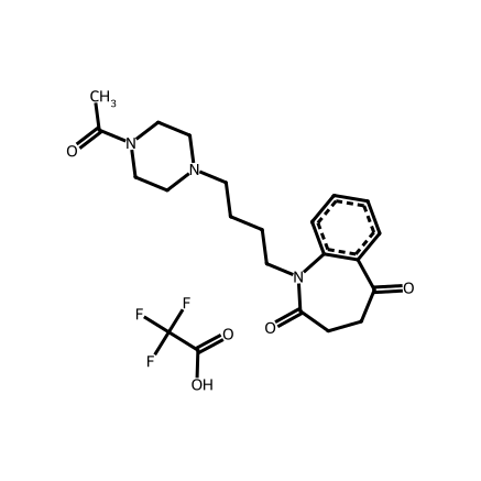 CC(=O)N1CCN(CCCCN2C(=O)CCC(=O)c3ccccc32)CC1.O=C(O)C(F)(F)F